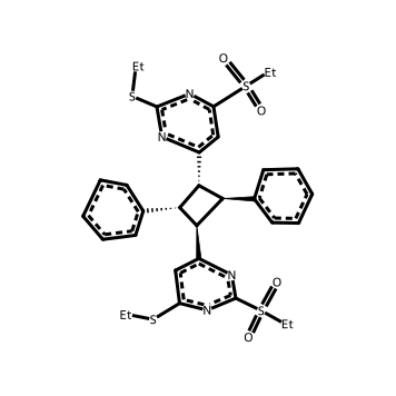 CCSc1cc([C@H]2[C@H](c3ccccc3)[C@H](c3cc(S(=O)(=O)CC)nc(SCC)n3)[C@H]2c2ccccc2)nc(S(=O)(=O)CC)n1